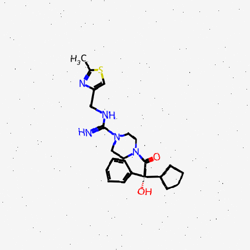 Cc1nc(CNC(=N)N2CCN(C(=O)[C@](O)(c3ccccc3)C3CCCC3)CC2)cs1